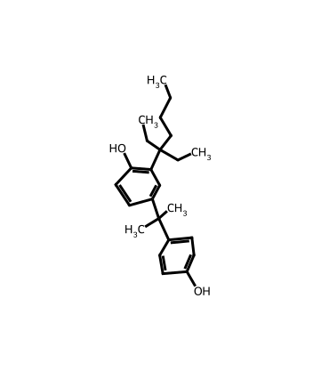 CCCCC(CC)(CC)c1cc(C(C)(C)c2ccc(O)cc2)ccc1O